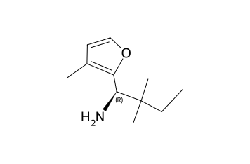 CCC(C)(C)[C@@H](N)c1occc1C